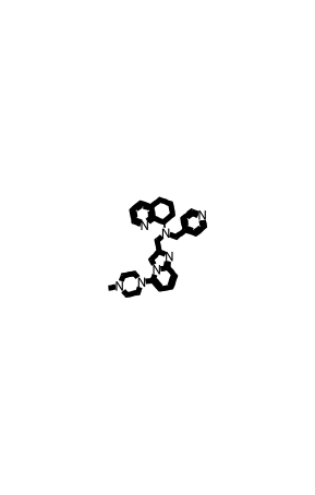 CN1CCN(C2=CC=CC3=NC(CN(Cc4ccncc4)[C@H]4CCCc5cccnc54)CN23)CC1